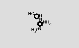 COc1ccc(NC2CCC(O)CC2)c(N)c1